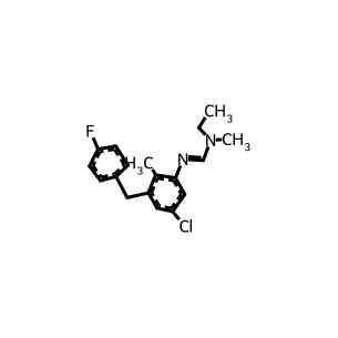 CCN(C)C=Nc1cc(Cl)cc(Cc2ccc(F)cc2)c1C